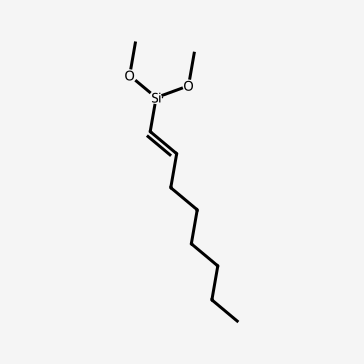 CCCCCCC=C[Si](OC)OC